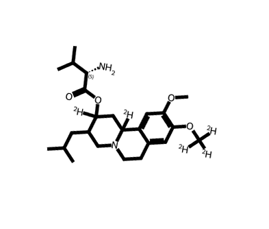 [2H]C([2H])([2H])Oc1cc2c(cc1OC)C1([2H])CC([2H])(OC(=O)[C@@H](N)C(C)C)C(CC(C)C)CN1CC2